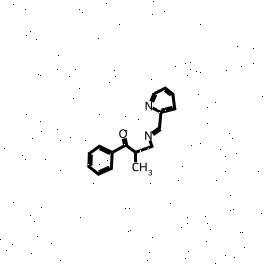 CC(CN=Cc1ccccn1)C(=O)c1ccccc1